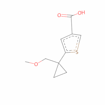 COCC1(c2cc(C(=O)O)cs2)CC1